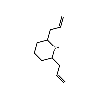 C=CCC1CCCC(CC=C)N1